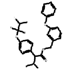 CC(C)C(C(=O)OCc1cccc(Oc2ccccc2)c1)c1ccc(OC(F)(F)C(F)F)cc1